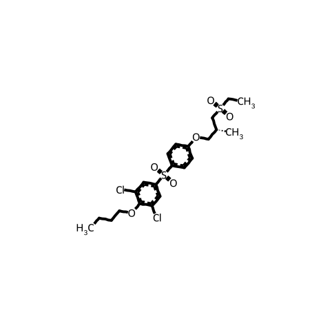 CCCCOc1c(Cl)cc(S(=O)(=O)c2ccc(OC[C@@H](C)CS(=O)(=O)CC)cc2)cc1Cl